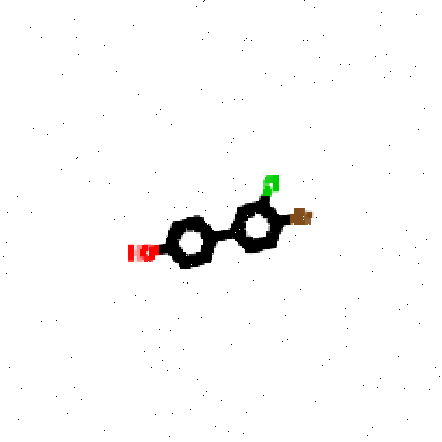 Oc1ccc(-c2ccc(Br)c(Cl)c2)cc1